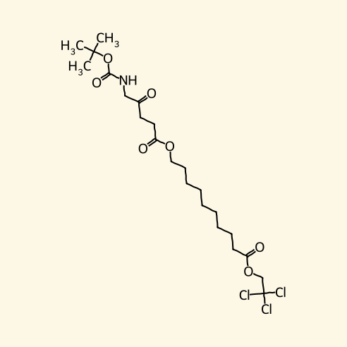 CC(C)(C)OC(=O)NCC(=O)CCC(=O)OCCCCCCCCCC(=O)OCC(Cl)(Cl)Cl